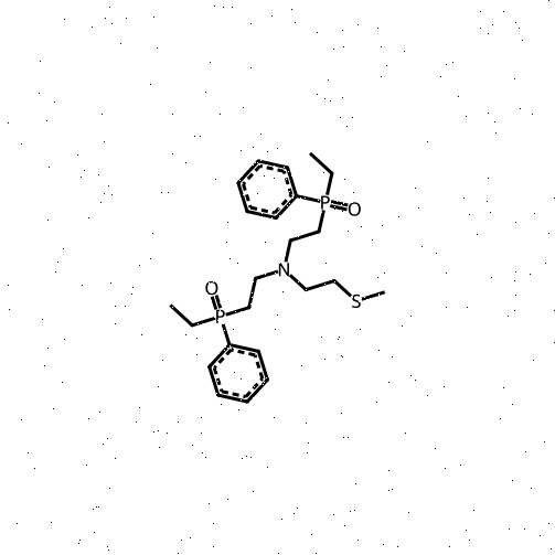 CCP(=O)(CCN(CCSC)CCP(=O)(CC)c1ccccc1)c1ccccc1